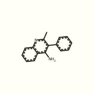 Cc1nc2ccccc2c(N)c1-c1ccccc1